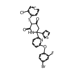 O=C1CC(c2ccsc2)(c2cccc(Oc3ccc(Br)cc3F)n2)NC(=O)C1Sc1ccccc1Cl